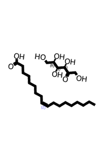 CCCCCCCC/C=C\CCCCCCCC(=O)O.O=C(CO)[C@H](O)[C@@H](O)[C@H](O)CO